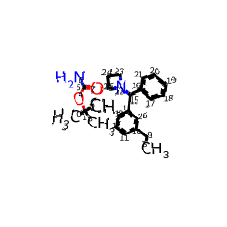 CC(C)(C)OC(N)=O.CCc1cccc(C(c2ccccc2)N2CCC2)c1